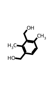 Cc1ccc(CO)c(C)c1CO